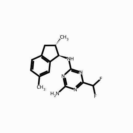 Cc1ccc2c(c1)[C@H](Nc1nc(N)nc(C(F)F)n1)[C@@H](C)C2